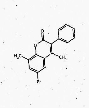 Cc1c(-c2ccccc2)c(=O)oc2c(C)cc(Br)cc12